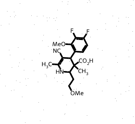 COCCC1NC(C)=C(C#N)C(c2ccc(F)c(F)c2OC)C1(C)C(=O)O